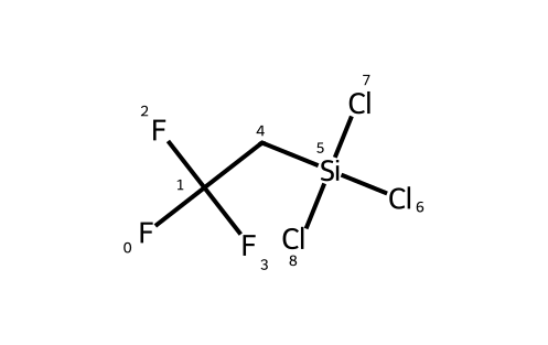 FC(F)(F)C[Si](Cl)(Cl)Cl